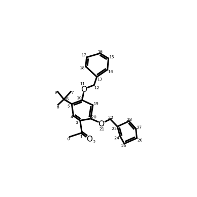 CC(=O)c1cc(C(C)(C)C)c(OCc2ccccc2)cc1OCc1ccccc1